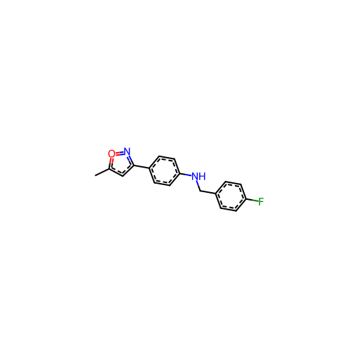 Cc1cc(-c2ccc(NCc3ccc(F)cc3)cc2)no1